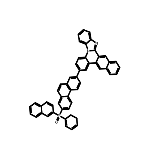 O=P(C1=CC=CCC1)(c1ccc2ccccc2c1)c1ccc2c(ccc3cc(-c4ccc5c(c4)c4cc6ccccc6cc4c4nc6ccccc6n54)ccc32)c1